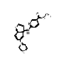 COC(=O)c1ccc(Nc2ccnc3ccc(N4CCOCC4)cc23)nc1